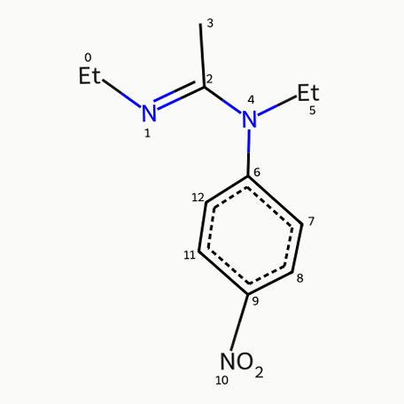 CCN=C(C)N(CC)c1ccc([N+](=O)[O-])cc1